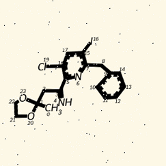 CC1(CC(=N)c2nc(Cc3ccccc3)c(I)cc2Cl)OCCO1